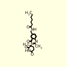 CCCCCCC(=O)NCc1ccc2nc(C)n([C@@]3(C)CCC(=O)NC3=O)c(=O)c2c1